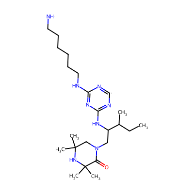 CCC(C)C(CN1CC(C)(C)NC(C)(C)C1=O)Nc1n[c]nc(NCCCCCC[NH])n1